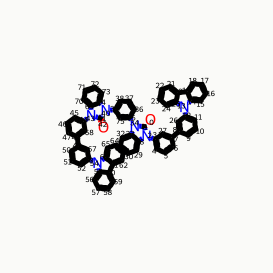 O=c1n(-c2cccc(-c3cccc(-n4c5ccccc5c5ccccc54)c3)c2)c2ccccc2n1-c1cccc(-n2c(=O)n(-c3cccc(-c4cccc(-n5c6ccccc6c6ccccc65)c4)c3)c3ccccc32)c1